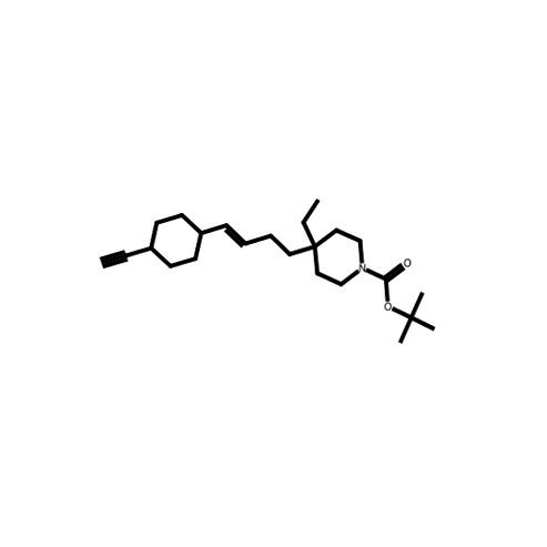 C#CC1CCC(/C=C/CCC2(CC)CCN(C(=O)OC(C)(C)C)CC2)CC1